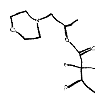 CC(CN1CCOCC1)OC(=O)C(F)(F)C(F)F